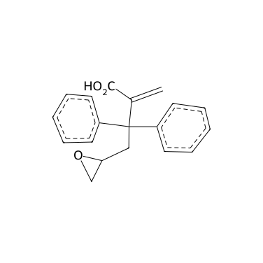 C=C(C(=O)O)C(CC1CO1)(c1ccccc1)c1ccccc1